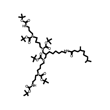 CC(C)CCCC(C)CCC(=O)NCCCCCCC(CN(CCCCN(CCCNC(=O)OC(C)(C)C)C(=O)OC(C)(C)C)C(=O)OC(C)(C)C)CN(CCCCN(CCCNC(=O)OC(C)(C)C)C(=O)OC(C)(C)C)C(=O)OC(C)(C)C